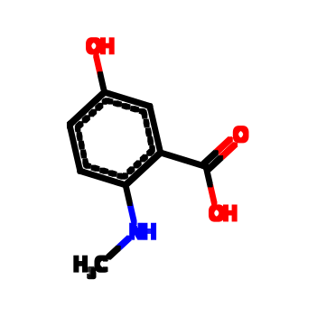 CNc1ccc(O)cc1C(=O)O